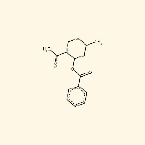 CC(=O)C1CCC(C)CC1OC(=O)c1ccccc1